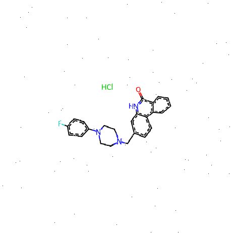 Cl.O=c1[nH]c2cc(CN3CCN(c4ccc(F)cc4)CC3)ccc2c2ccccc12